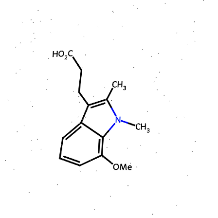 COc1cccc2c(CCC(=O)O)c(C)n(C)c12